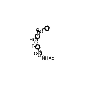 CC(=O)NC[C@H]1CN(c2ccc(OCC3(O)CCN(C(=O)OCc4ccccc4)CC3)c(F)c2)C(=O)O1